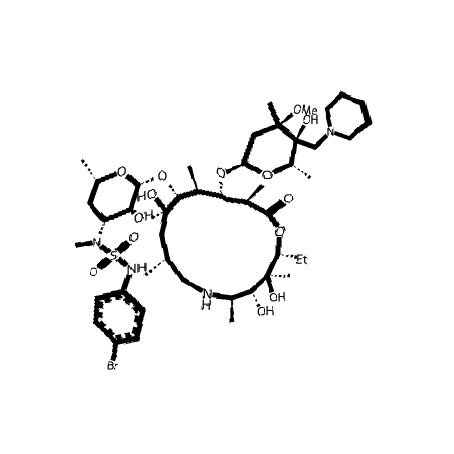 CC[C@H]1OC(=O)[C@H](C)[C@@H](O[C@H]2C[C@@](C)(OC)[C@](O)(CN3CCCCC3)[C@H](C)O2)[C@H](C)[C@@H](O[C@H]2O[C@@H](C)C[C@@H](N(C)S(=O)(=O)Nc3ccc(Br)cc3)[C@@H]2O)[C@](C)(O)C[C@@H](C)CN[C@H](C)[C@@H](O)[C@]1(C)O